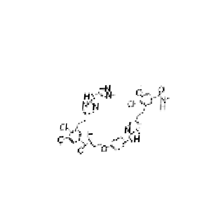 CNC(=O)c1cc(CCc2cnc(Nc3ccc(OCCNC(=O)c4cc(CCc5cnc(Nc6cnn(C)c6)nc5)c(Cl)c(OC)c4)cc3)nc2)c(Cl)c(OC)c1